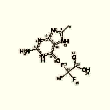 Cc1nc2nc(N)[nH]c(=O)c2[nH]1.O=C(O)C(F)(F)F